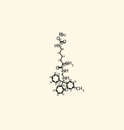 Cc1ccc(C(NCNC(=O)[C@H](N)CCCCNC(=O)OC(C)(C)C)(c2ccccc2)c2ccccc2Cl)cc1